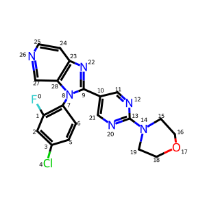 Fc1cc(Cl)ccc1-n1c(-c2cnc(N3CCOCC3)nc2)nc2ccncc21